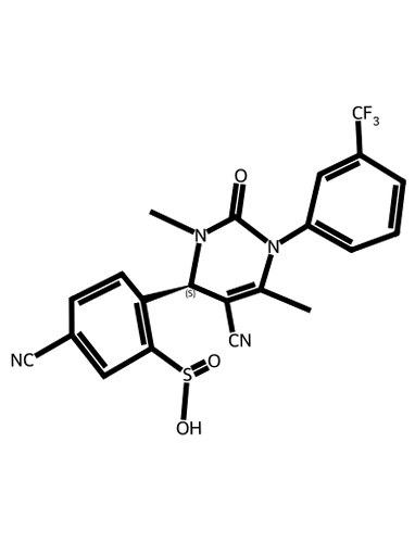 CC1=C(C#N)[C@@H](c2ccc(C#N)cc2S(=O)O)N(C)C(=O)N1c1cccc(C(F)(F)F)c1